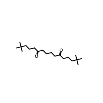 CC(C)(C)CCCC(=O)CCCCC(=O)CCCC(C)(C)C